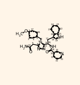 COc1ccc(Cn2c(CC(N)=O)nnc2[C@@H](Cc2c[nH]c3ccccc23)NC(=O)c2cccnc2)cc1